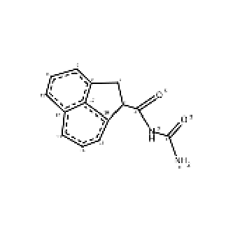 NC(=O)NC(=O)C1Cc2cccc3cccc1c23